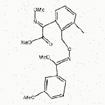 CO/N=C(/C(=O)OC)c1cccc(C)c1CO/N=C(\OC)c1cccc(OC)c1